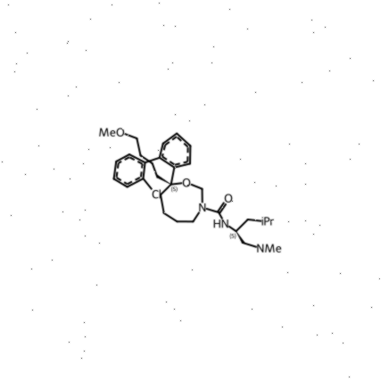 CNC[C@H](CC(C)C)NC(=O)N1CCCC[C@](CCCCOC)(c2ccccc2-c2ccccc2Cl)OC1